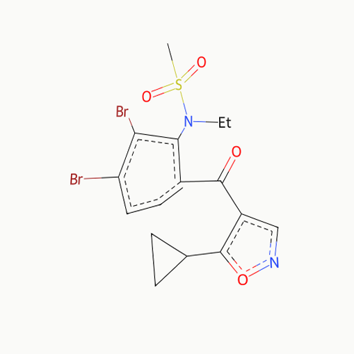 CCN(c1c(C(=O)c2cnoc2C2CC2)ccc(Br)c1Br)S(C)(=O)=O